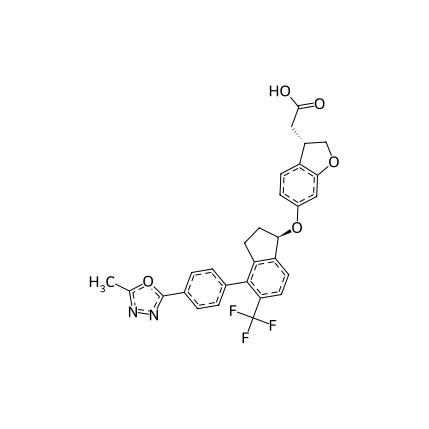 Cc1nnc(-c2ccc(-c3c(C(F)(F)F)ccc4c3CC[C@H]4Oc3ccc4c(c3)OC[C@H]4CC(=O)O)cc2)o1